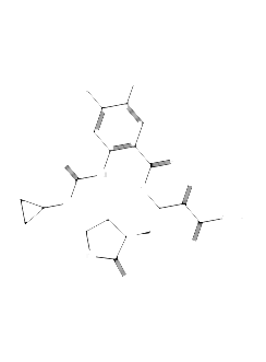 CNC(=O)C(=O)[C@H](C[C@@H]1C[C@@H](C)NC1=O)NC(=O)c1cc(F)c(Cl)cc1NC(=O)OC1CC1